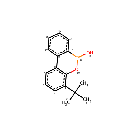 CC(C)(C)c1cccc2c1OP(O)c1ccccc1-2